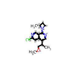 COCC(C)c1cnc(N2CC[C@H]2C)c2cnc(Cl)cc12